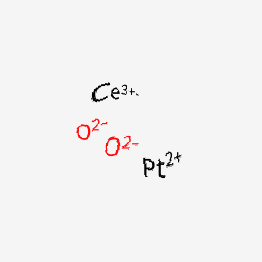 [Ce+3].[O-2].[O-2].[Pt+2]